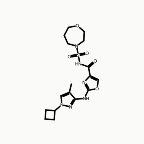 Cc1cn(C2CCC2)nc1Nc1nc(C(=O)NS(=O)(=O)N2CCCOCC2)co1